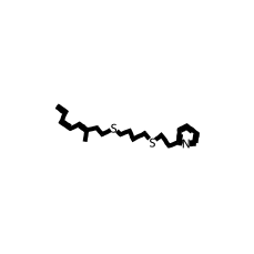 C=C/C=C\C=C(/C)CCSCCCCSCCc1ccccn1